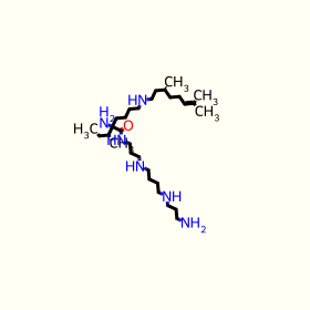 CCC(C)C(N)(CCCCNCC[C@H](C)CCC=C(C)C)C(=O)NCCCNCCCCNCCCN